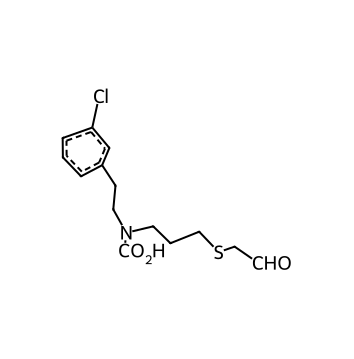 O=CCSCCCN(CCc1cccc(Cl)c1)C(=O)O